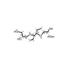 CCCCCCCCCC[C@@H](O)[C@H]1CC[C@H]([C@H]2CC[C@H]([C@H](O)CO)O2)O1